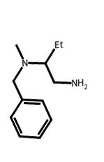 CCC(CN)N(C)Cc1ccccc1